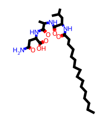 CCCCCCCCCCCCCCCC(=O)NC(CC(C)C)C(=O)NC(C)C(=O)NC(CC(N)=O)C(=O)O